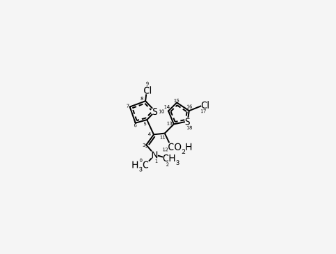 CN(C)[C]=C(c1ccc(Cl)s1)C(C(=O)O)c1ccc(Cl)s1